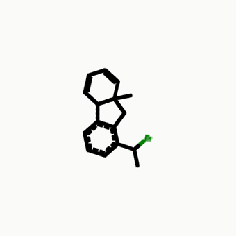 CC(Br)c1cccc2c1CC1(C)C=CC=CC21